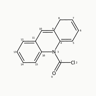 O=C(Cl)N1C2=CC=CCC2=Cc2ccccc21